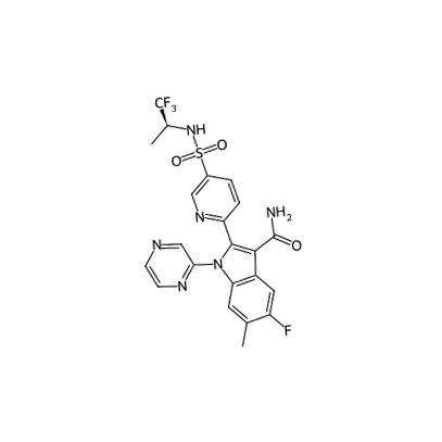 Cc1cc2c(cc1F)c(C(N)=O)c(-c1ccc(S(=O)(=O)N[C@@H](C)C(F)(F)F)cn1)n2-c1cnccn1